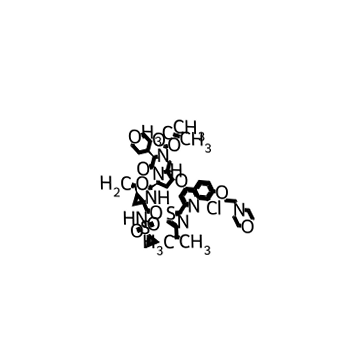 C=C[C@@H]1C[C@]1(NC(=O)[C@@H]1C[C@@H](Oc2cc(-c3nc(C(C)C)cs3)nc3c(Cl)c(OCCN4CCOCC4)ccc23)[C@H]2CN(C(=O)OC(C)(C)C)[C@H](C3CCOCC3)C(=O)N21)C(=O)NS(=O)(=O)C1CC1